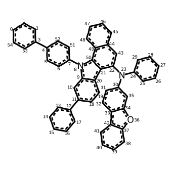 c1ccc(-c2ccc(-n3c4cc(-c5ccccc5)ccc4c4c(N(c5ccccc5)c5ccc6c(c5)oc5ccccc56)cc5ccccc5c43)cc2)cc1